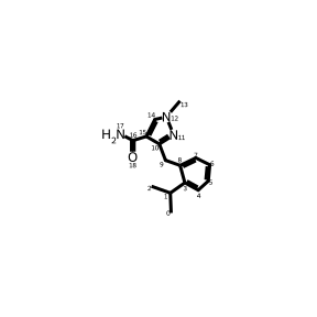 CC(C)c1ccccc1Cc1nn(C)cc1C(N)=O